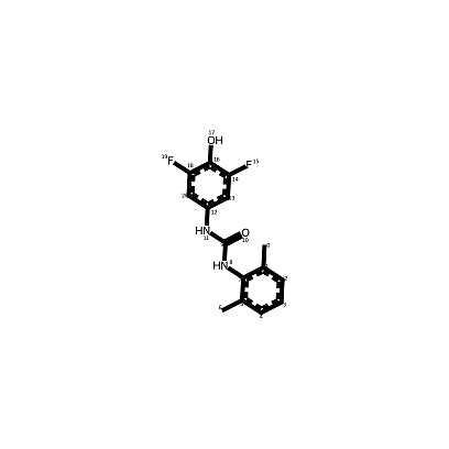 Cc1cccc(C)c1NC(=O)Nc1cc(F)c(O)c(F)c1